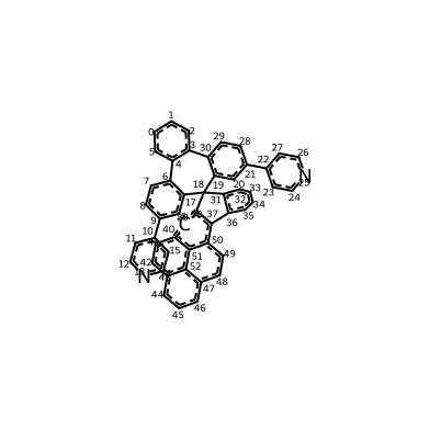 c1ccc2c(c1)-c1ccc(-c3ccncc3)cc1C1(c3cc(-c4ccncc4)ccc3-2)c2ccccc2-c2c1cc1ccc3cccc4ccc2c1c34